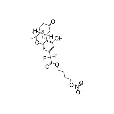 CC1(C)Oc2cc(C(F)(F)C(=O)OCCCCO[N+](=O)[O-])cc(O)c2[C@@H]2CC(=O)CC[C@H]21